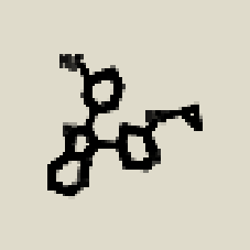 Cc1cccc(-c2nc3cccnn3c2-c2ccnc(NC3CC3)c2)c1